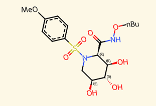 CCCCONC(=O)[C@H]1[C@@H](O)[C@H](O)[C@@H](O)CN1S(=O)(=O)c1ccc(OC)cc1